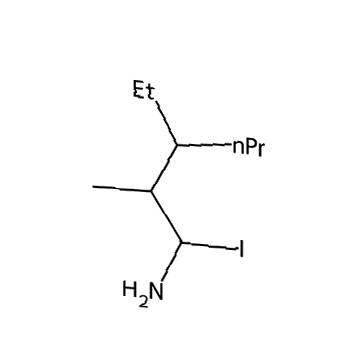 CCCC(CC)C(C)C(N)I